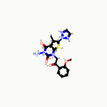 COc1ccccc1C(=O)Cn1c(=O)n(N)c(=O)c2c(C)c(-n3nccn3)sc21